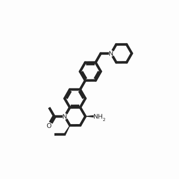 CC[C@@H]1C[C@H](N)c2cc(-c3ccc(CN4CCCCC4)cc3)ccc2N1C(C)=O